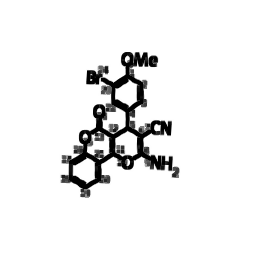 COc1ccc(C2C(C#N)=C(N)Oc3c2c(=O)oc2ccccc32)cc1Br